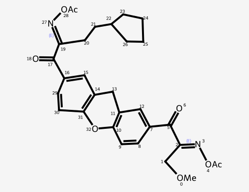 COC/C(=N\OC(C)=O)C(=O)c1ccc2c(c1)Cc1cc(C(=O)/C(CCC3CCCC3)=N/OC(C)=O)ccc1O2